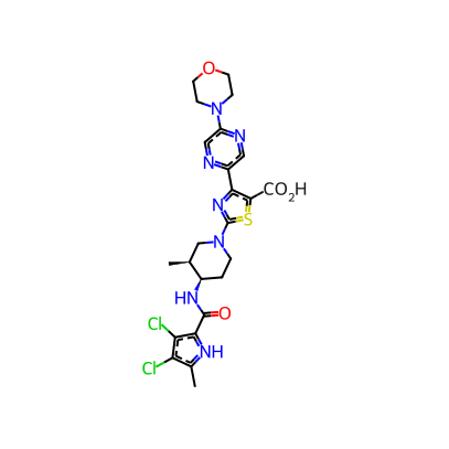 Cc1[nH]c(C(=O)N[C@@H]2CCN(c3nc(-c4cnc(N5CCOCC5)cn4)c(C(=O)O)s3)C[C@@H]2C)c(Cl)c1Cl